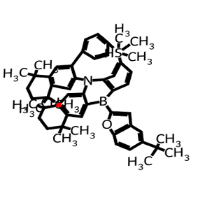 CC(C)(C)c1ccc2oc(B3c4ccc5cc4N(c4cc6c(cc43)C(C)(C)CCC6(C)C)c3cc4c(cc3-c3ccc(cc3)[SH]5(C)(C)C)C(C)(C)CCC4(C)C)cc2c1